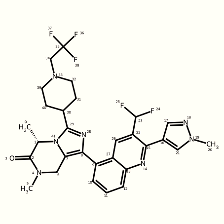 C[C@H]1C(=O)N(C)Cc2c(-c3cccc4nc(-c5cnn(C)c5)c(C(F)F)cc34)nc(C3CCN(CC(F)(F)F)CC3)n21